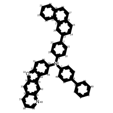 c1ccc(-c2ccc(N(c3ccc(-c4ccc5ccc6ccccc6c5c4)cc3)c3ccc4oc5cc6cccnc6cc5c4c3)cc2)cc1